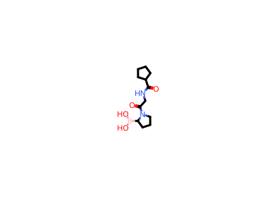 O=C(NCC(=O)N1CCCC1B(O)O)C1CCCC1